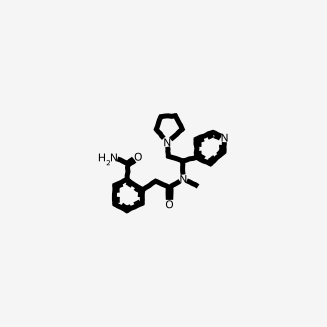 CN(C(=O)Cc1ccccc1C(N)=O)C(CN1CCCC1)c1ccncc1